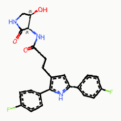 O=C(CCc1cc(-c2ccc(F)cc2)[nH]c1-c1ccc(F)cc1)N[C@H]1C(=O)NC[C@H]1O